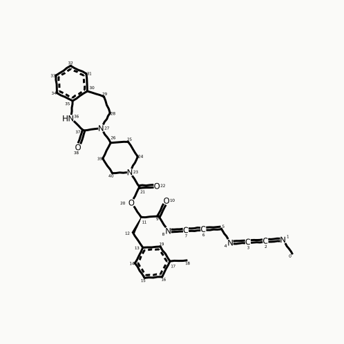 CN=C=C=NC=C=C=NC(=O)[C@@H](Cc1cccc(C)c1)OC(=O)N1CCC(N2CCc3ccccc3NC2=O)CC1